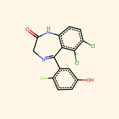 O=C1CN=C(c2cc(O)ccc2F)c2c(ccc(Cl)c2Cl)N1